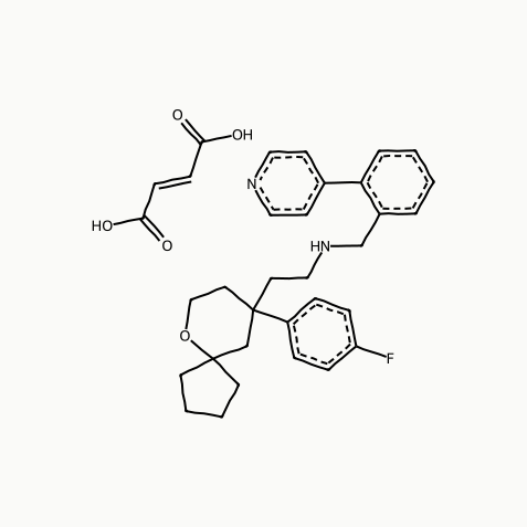 Fc1ccc(C2(CCNCc3ccccc3-c3ccncc3)CCOC3(CCCC3)C2)cc1.O=C(O)/C=C/C(=O)O